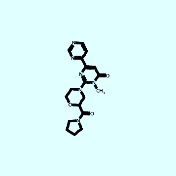 Cn1c(N2CCOC(C(=O)N3CCCC3)C2)nc(-c2ccncn2)cc1=O